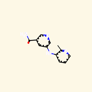 Cc1ncccc1Nc1cncc(C(N)=O)c1